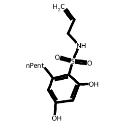 C=CCNS(=O)(=O)c1c(O)cc(O)cc1CCCCC